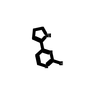 Clc1nccc(C2=CCCN2)n1